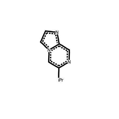 CC(C)c1cn2ccnc2cn1